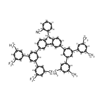 Cc1cc(C)cc(-c2cc(-c3cc(C)cc(C(F)(F)F)c3)cc(-c3ccc4c(c3)c3cc(-c5cc(-c6cc(C)cc(C(F)(F)F)c6)cc(-c6cc(C(F)(F)F)cc(C(F)(F)F)c6)c5)ccc3n4-c3ccccc3C#N)c2)c1